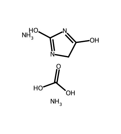 N.N.O=C(O)O.OC1=NC(O)=NC1